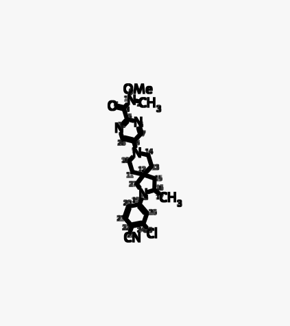 CON(C)C(=O)c1ncc(N2CCC3(CC2)CC(C)N(c2ccc(C#N)c(Cl)c2)C3)cn1